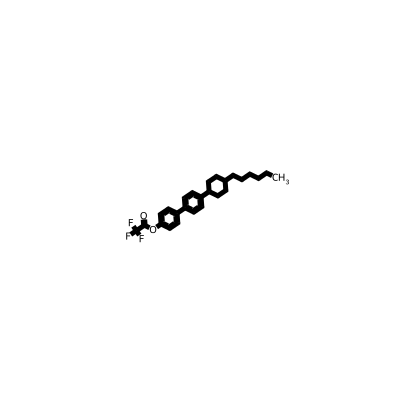 CCCCCCC1CCC(c2ccc(-c3ccc(OC(=O)C(F)(F)F)cc3)cc2)CC1